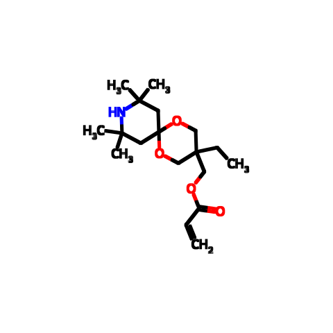 C=CC(=O)OCC1(CC)COC2(CC(C)(C)NC(C)(C)C2)OC1